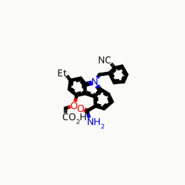 CCc1cc(OCC(=O)O)c2c3c(C(N)=O)cccc3n(Cc3ccccc3C#N)c2c1